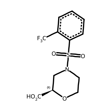 O=C(O)[C@H]1CN(S(=O)(=O)c2ccccc2C(F)(F)F)CCO1